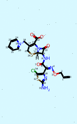 C=CCON=C(C(=O)NC1C(=O)N2C(C(=O)[O-])=C(C[n+]3ccccc3)CS[C@@H]12)c1nc(N)sc1Cl